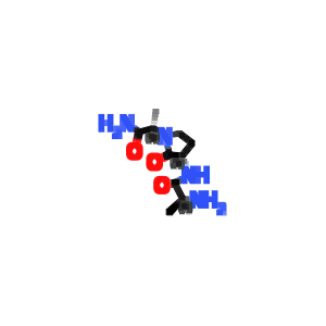 C[C@H](N)C(=O)N[C@H]1CCN([C@@H](C)C(N)=O)C1=O